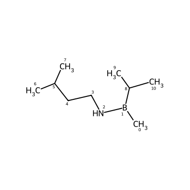 CB(NCCC(C)C)C(C)C